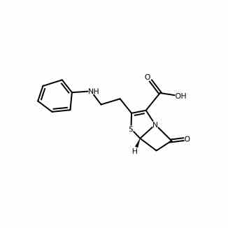 O=C(O)C1=C(CCNc2ccccc2)S[C@H]2CC(=O)N12